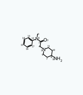 CN(C(=O)CN1CCC(N)CC1)c1ccccc1